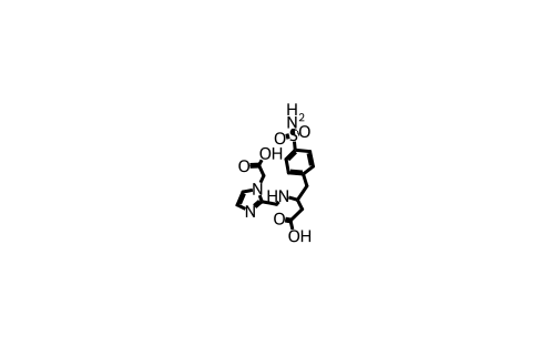 NS(=O)(=O)c1ccc(CC(CC(=O)O)NCc2nccn2CC(=O)O)cc1